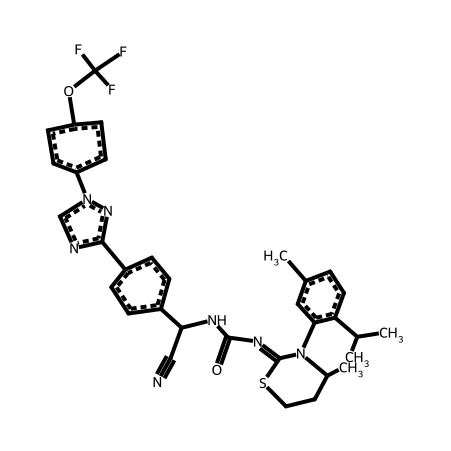 Cc1ccc(C(C)C)c(N2/C(=N/C(=O)NC(C#N)c3ccc(-c4ncn(-c5ccc(OC(F)(F)F)cc5)n4)cc3)SCCC2C)c1